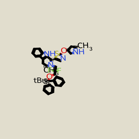 C[C@@H]1C[C@@H](Oc2ncc([C@@H]3c4[nH]c5ccccc5c4C[C@@H](C)N3CC(F)(F)CO[Si](c3ccccc3)(c3ccccc3)C(C)(C)C)s2)CN1